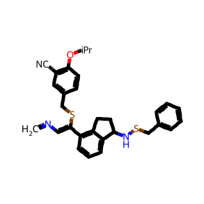 C=N/C=C(\SCc1ccc(OC(C)C)c(C#N)c1)c1cccc2c1CCC2NSCc1ccccc1